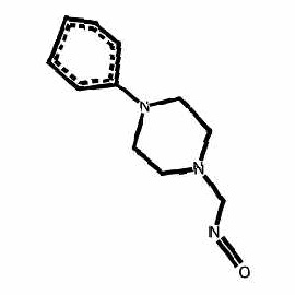 O=NCN1CCN(c2ccccc2)CC1